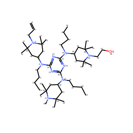 C=CCN1C(C)(C)CC(N(CCCC)c2nc(N(CCCC)C3CC(C)(C)N(C)C(C)(C)C3)nc(N(CCCC)C3CC(C)(C)N(CCO)C(C)(C)C3)n2)CC1(C)C